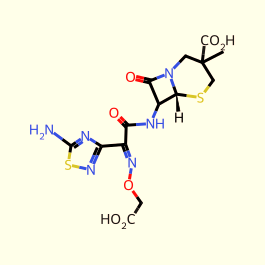 CC1(C(=O)O)CS[C@@H]2C(NC(=O)C(=NOCC(=O)O)c3nsc(N)n3)C(=O)N2C1